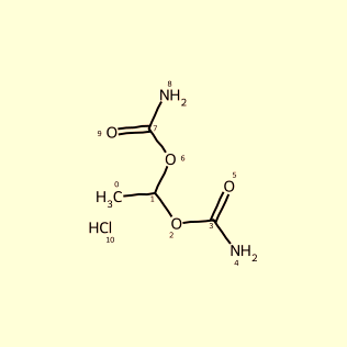 CC(OC(N)=O)OC(N)=O.Cl